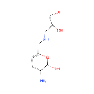 N[C@@H]1CC=C(CNCC(O)CO)O[C@@H]1O